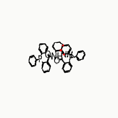 O=C(NC1CCCCC1NC(=O)c1ccccc1P(c1ccccc1)c1ccccc1)c1ccccc1P(c1ccccc1)c1ccccc1